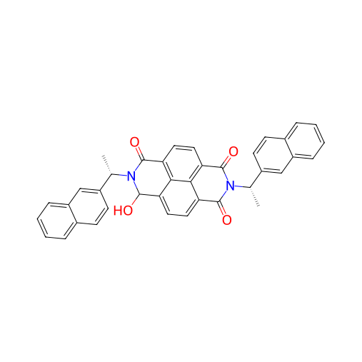 C[C@@H](c1ccc2ccccc2c1)N1C(=O)c2ccc3c4c(ccc(c24)C1=O)C(O)N([C@@H](C)c1ccc2ccccc2c1)C3=O